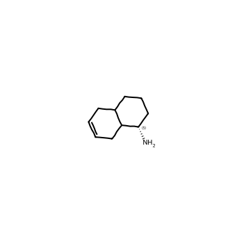 N[C@H]1CCCC2CC=CCC21